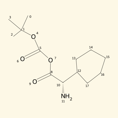 CC(C)(C)OC(=O)OC(=O)[C@@H](N)C1CCCCC1